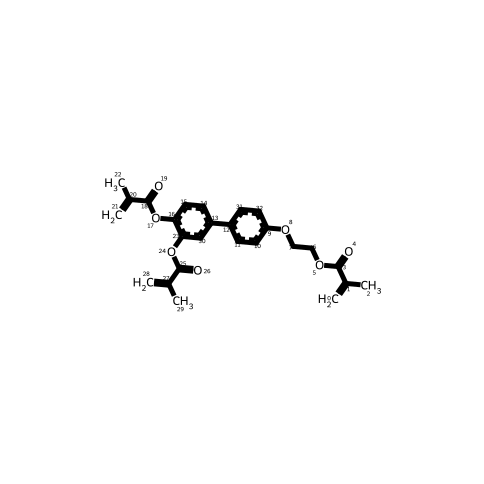 C=C(C)C(=O)OCCOc1ccc(-c2ccc(OC(=O)C(=C)C)c(OC(=O)C(=C)C)c2)cc1